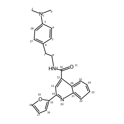 CN(C)c1ccc(CCNC(=O)c2cc(-c3ccco3)nc3ccccc23)cc1